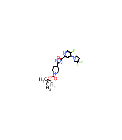 CC(C)(C)OC(=O)N1CCC(c2noc(-c3cc(N4CCC(F)(F)C4)c(F)cn3)n2)CC1